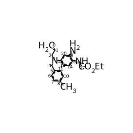 C=CCN(Cc1ccc(C)cc1)c1ccc(NC(=O)OCC)c(N)c1